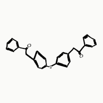 O=C(Cc1ccc(Sc2ccc(CC(=O)c3ccccc3)cc2)cc1)c1ccccc1